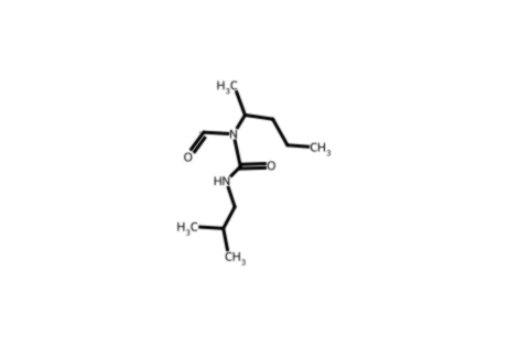 CCCC(C)N([C]=O)C(=O)NCC(C)C